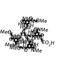 CNC(=O)c1cc(C(=O)NCCOC)cc(C(=O)NCCN(CCNC(=O)c2cc(C(=O)NCCOC)cc(C(=O)NC)c2O)CCN(CCNC(=O)c2cc(C(=O)NCCOC)cc(C(=O)NC)c2O)CCNC(=O)c2cc(C(=O)NCCC(=O)O)cc(C(=O)NC)c2O)c1O